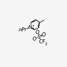 CCC[n+]1ccc(C)cc1.O=S(=O)([O-])C(F)(F)F